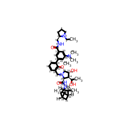 CCN1CCC[C@@H]1CNC(=O)c1cc(-c2cccc(CN3C[C@H](O)[C@@H](C(C)O)[C@H]3C(=O)N[C@H]3C[C@H]4C[C@@H]([C@@H]3C)C4(C)C)c2OC)cc(N(C)C)c1